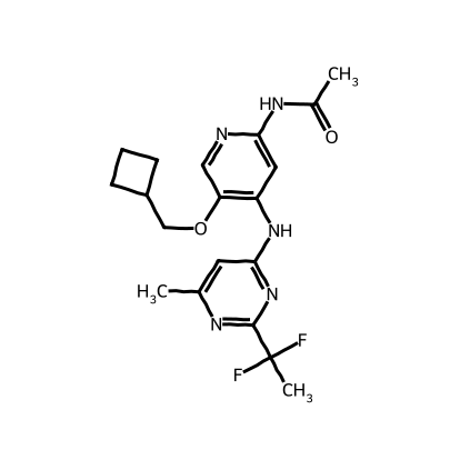 CC(=O)Nc1cc(Nc2cc(C)nc(C(C)(F)F)n2)c(OCC2CCC2)cn1